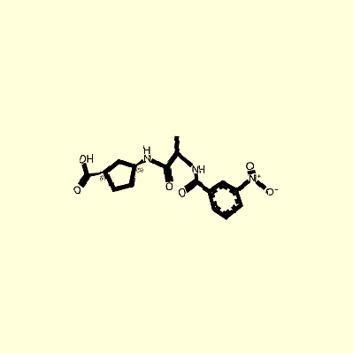 CC(NC(=O)c1cccc([N+](=O)[O-])c1)C(=O)N[C@H]1CC[C@@H](C(=O)O)C1